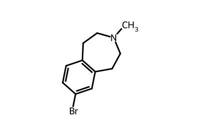 CN1CCc2ccc(Br)cc2CC1